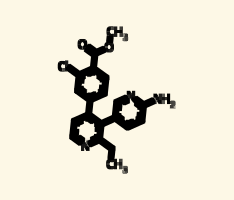 CCc1nccc(-c2ccc(C(=O)OC)c(Cl)c2)c1-c1ccc(N)nc1